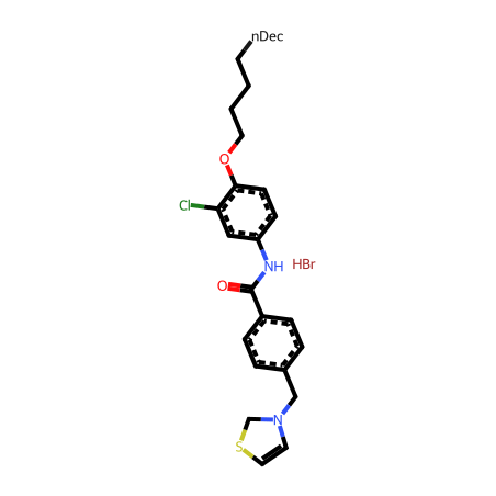 Br.CCCCCCCCCCCCCCOc1ccc(NC(=O)c2ccc(CN3C=CSC3)cc2)cc1Cl